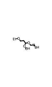 B=NCOC(CCOCC)OO